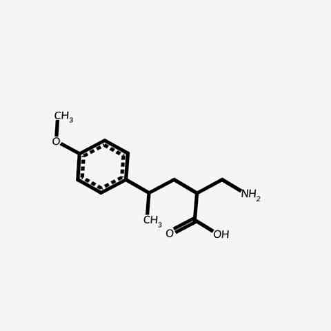 COc1ccc(C(C)CC(CN)C(=O)O)cc1